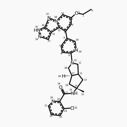 CCOc1cc(-c2ccc(N3CC4C[C@](C)(NC(=O)c5ncccc5Cl)C[C@H]4C3)nc2)c2c3cn[nH]c3nn2c1